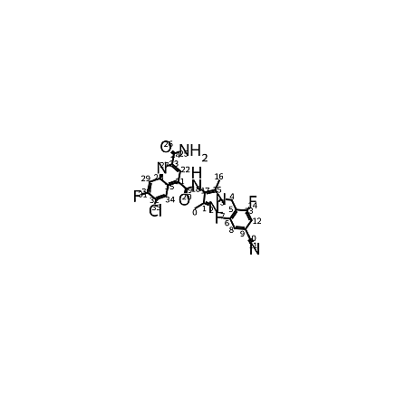 Cc1nn(Cc2c(F)cc(C#N)cc2F)c(C)c1NC(=O)c1cc(C(N)=O)nc2cc(F)c(Cl)cc12